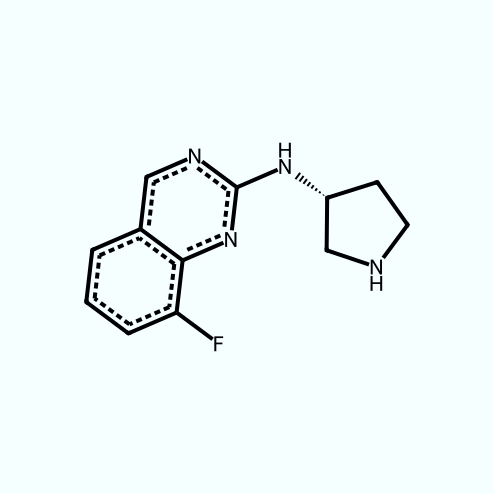 Fc1cccc2cnc(N[C@@H]3CCNC3)nc12